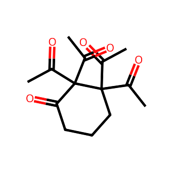 CC(=O)C1(C(C)=O)CCCC(=O)C1(C(C)=O)C(C)=O